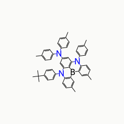 Cc1ccc(N(c2ccc(C)cc2)c2cc3c4c(c2)N(c2ccc(C(C)(C)C)cc2)c2ccc(C)cc2B4c2cc(C)ccc2N3c2ccc(C)cc2)cc1